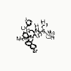 CN[C@@H](C)C(=O)N[C@H]1CN(C(=O)c2cccnc2)c2ccccc2N(Cc2c(OC)ccc3cc(Br)ccc23)C1=O.Cl